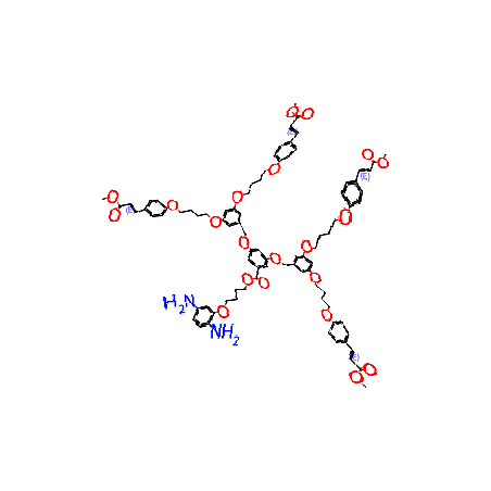 COC(=O)/C=C/c1ccc(OCCCCOc2cc(COc3cc(OCc4cc(OCCCCOc5ccc(/C=C/C(=O)OC)cc5)cc(OCCCCOc5ccc(/C=C/C(=O)OC)cc5)c4)cc(C(=O)OCCCCOc4cc(N)ccc4N)c3)cc(OCCCCOc3ccc(/C=C/C(=O)OC)cc3)c2)cc1